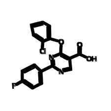 O=C(O)c1cnc(-c2ccc(F)cc2)nc1Oc1ccccc1Cl